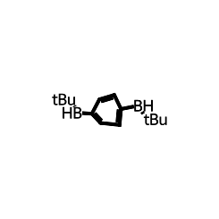 CC(C)(C)Bc1ccc(BC(C)(C)C)cc1